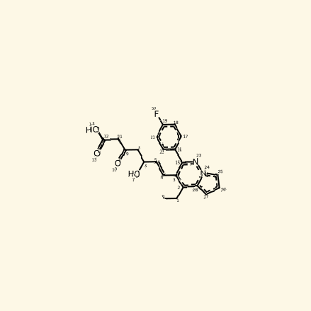 CCc1c(/C=C/C(O)CC(=O)CC(=O)O)c(-c2ccc(F)cc2)nn2cccc12